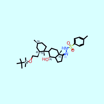 Cc1ccc(S(=O)(=O)N/N=C2/CCC3[C@H](O)C([C@@]4(C)CC[C@H](C)C[C@@H]4CCO[Si](C)(C)C(C)(C)C)CC[C@]23C)cc1